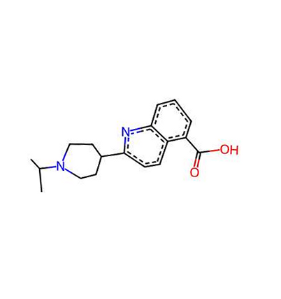 CC(C)N1CCC(c2ccc3c(C(=O)O)cccc3n2)CC1